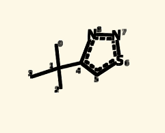 CC(C)(C)c1csnn1